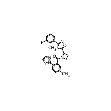 Cc1ccc(-n2nccn2)c(C(=O)N2CCC2c2nc(-c3cccc(F)c3C)no2)c1